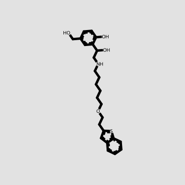 OCc1ccc(O)c(C(O)CNCCCCCCOCCc2cc3ccccc3s2)c1